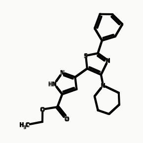 CCOC(=O)c1cc(-c2sc(-c3ccccc3)nc2N2CCCCC2)n[nH]1